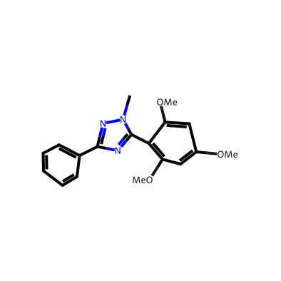 COc1cc(OC)c(-c2nc(-c3ccccc3)nn2C)c(OC)c1